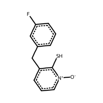 [O-][n+]1cccc(Cc2cccc(F)c2)c1S